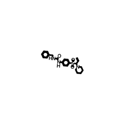 C=CC(N1CCCCC1)S(=O)(=O)c1ccc(NC(=O)NCc2ccccc2)cc1